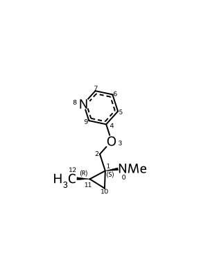 CN[C@@]1(COc2cccnc2)C[C@H]1C